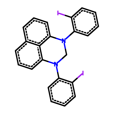 Ic1ccccc1N1CN(c2ccccc2I)c2cccc3cccc1c23